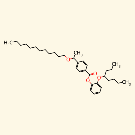 CCCCCCCCCCCCOC(C)c1ccc(C(=O)Oc2ccccc2OC(CCC)CCCC)cc1